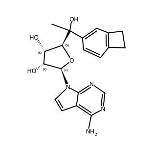 CC(O)(c1ccc2c(c1)CC2)[C@H]1O[C@@H](n2ccc3c(N)ncnc32)[C@H](O)[C@@H]1O